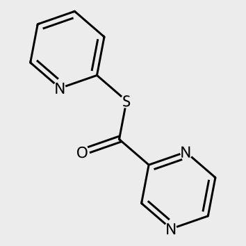 O=C(Sc1ccccn1)c1cnccn1